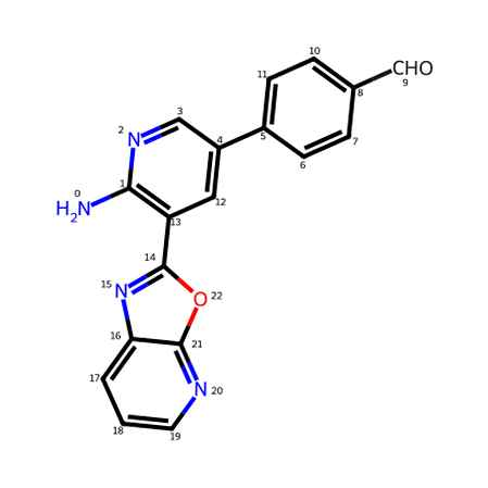 Nc1ncc(-c2ccc(C=O)cc2)cc1-c1nc2cccnc2o1